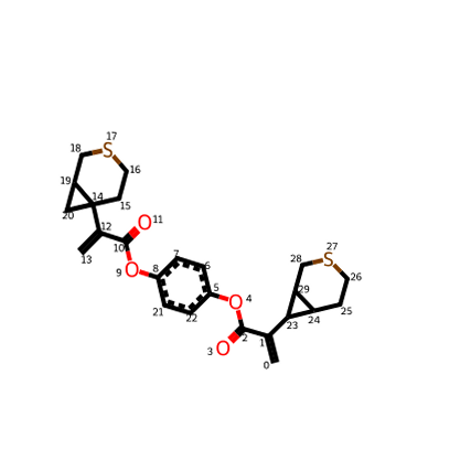 C=C(C(=O)Oc1ccc(OC(=O)C(=C)C23CCSCC2C3)cc1)C1C2CCSCC21